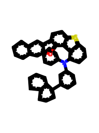 c1ccc(N(c2cccc(-c3cccc4ccccc34)c2)c2cccc3sc4ccc5c6cc7ccccc7cc6oc5c4c23)cc1